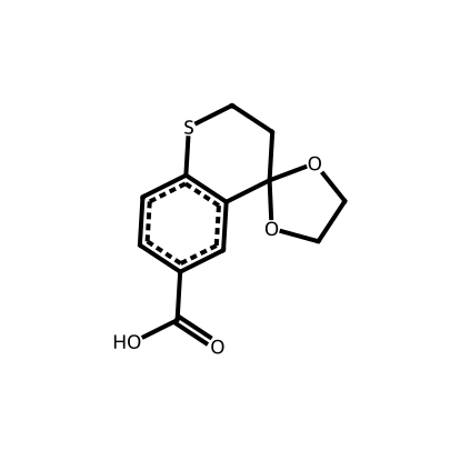 O=C(O)c1ccc2c(c1)C1(CCS2)OCCO1